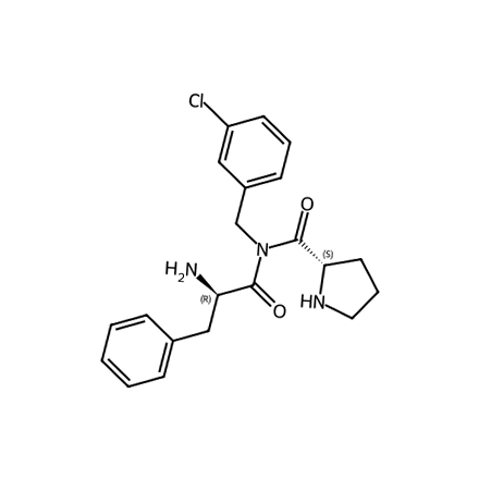 N[C@H](Cc1ccccc1)C(=O)N(Cc1cccc(Cl)c1)C(=O)[C@@H]1CCCN1